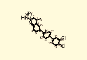 Cc1cc(NC(C)C)nc2ccc(-c3ccc(-c4ccc(Cl)c(Cl)c4)cn3)cc12